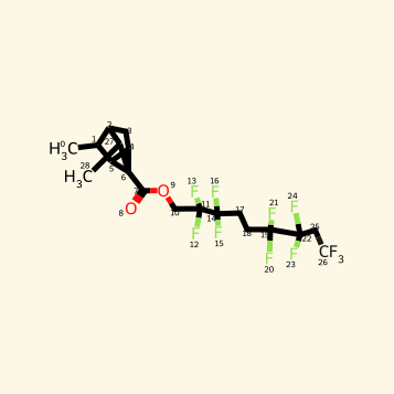 CC1C2CC3C1C3(C(=O)OCC(F)(F)C(F)(F)CCC(F)(F)C(F)(F)CC(F)(F)F)C2C